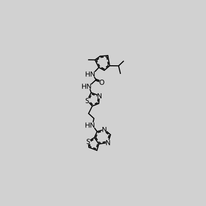 Cc1ccc(C(C)C)cc1NC(=O)Nc1ncc(CCNc2ncnc3ccsc23)s1